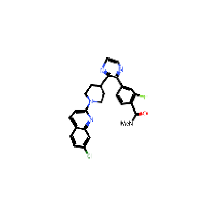 CNC(=O)c1ccc(-c2nccnc2C2CCN(c3ccc4ccc(Cl)cc4n3)CC2)cc1F